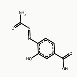 NC(=O)N=Nc1ccc(C(=O)O)cc1O